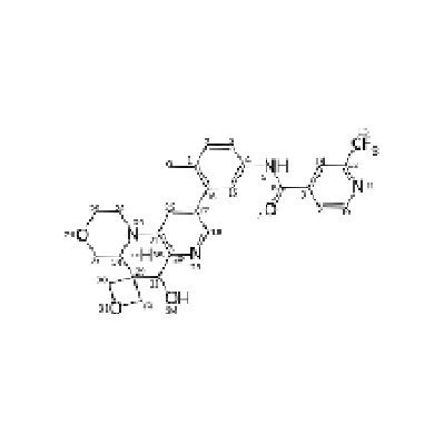 Cc1ccc(NC(=O)c2ccnc(C(F)(F)F)c2)cc1-c1cnc2c(c1)N1CCOC[C@@H]1C1(COC1)C2O